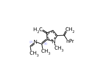 C=C(CCC)c1cc(=C)/c(=C(C)\N=C/C)n1C